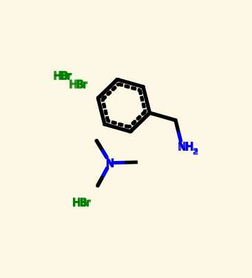 Br.Br.Br.CN(C)C.NCc1ccccc1